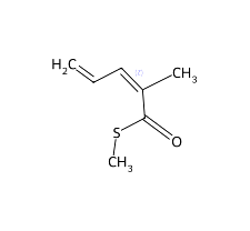 C=C/C=C(/C)C(=O)SC